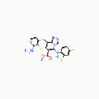 COC(=O)c1cc(Cc2ccnc(N)c2F)c2cncn2c1Nc1ccc(C)cc1F